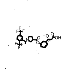 CC(c1cc(C(F)(F)F)ccc1C(F)(F)F)N1CCC(C(=O)Oc2cccc([C@H](O)CC(=O)O)c2)C1